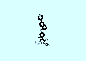 CNC(=O)c1c(C)oc2cc(Oc3ccnc4cc(-c5ccncc5)ccc34)ccc12